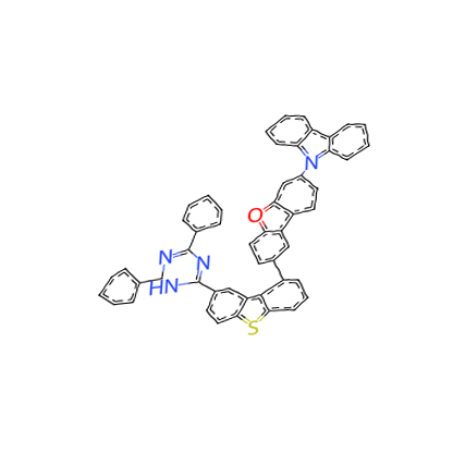 c1ccc(C2=NC(c3ccccc3)NC(c3ccc4sc5cccc(-c6ccc7oc8cc(-n9c%10ccccc%10c%10ccccc%109)ccc8c7c6)c5c4c3)=N2)cc1